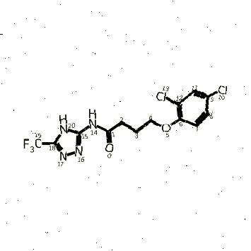 O=C(CCCOc1ccc(Cl)cc1Cl)Nc1nnc(C(F)(F)F)[nH]1